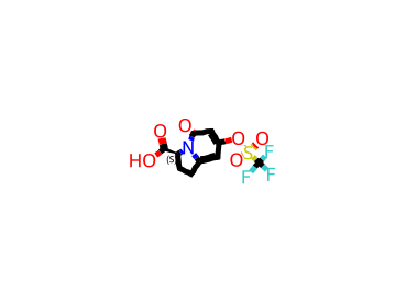 O=C(O)[C@@H]1CCc2cc(OS(=O)(=O)C(F)(F)F)cc(=O)n21